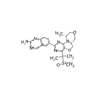 C[C@@H]1COCC2COc3c(nc(-c4ccc5nc(N)ncc5c4)nc3C(C)(C)[S+](C)[O-])N21